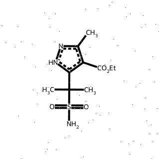 CCOC(=O)c1c(C)n[nH]c1C(C)(C)S(N)(=O)=O